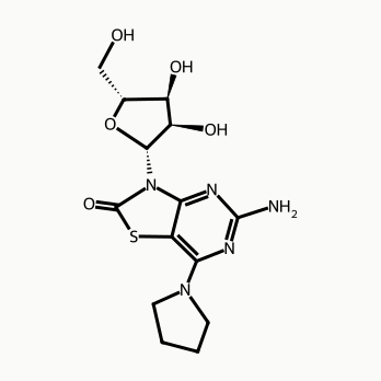 Nc1nc(N2CCCC2)c2sc(=O)n([C@@H]3O[C@H](CO)[C@@H](O)[C@H]3O)c2n1